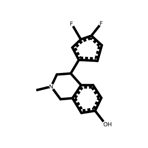 CN1Cc2cc(O)ccc2C(c2ccc(F)c(F)c2)C1